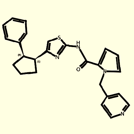 O=C(Nc1nc([C@H]2CCC[C@H]2c2ccccc2)cs1)c1cccn1Cc1ccncc1